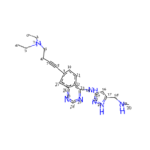 CCN(CC)CCC#Cc1ccc2c(Nc3cc(CNC)[nH]n3)ncnc2c1